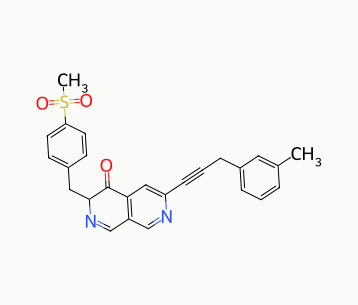 Cc1cccc(CC#Cc2cc3c(cn2)C=NC(Cc2ccc(S(C)(=O)=O)cc2)C3=O)c1